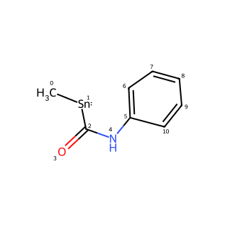 [CH3][Sn][C](=O)Nc1ccccc1